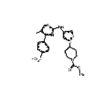 Cc1cnc(Nc2cnn(C3CCN(C(=O)OC(C)(C)C)CC3)c2)nc1-c1ccc(C(=O)O)cc1